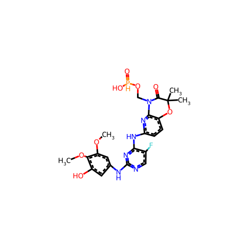 COc1cc(Nc2ncc(F)c(Nc3ccc4c(n3)N(CO[PH](=O)O)C(=O)C(C)(C)O4)n2)cc(O)c1OC